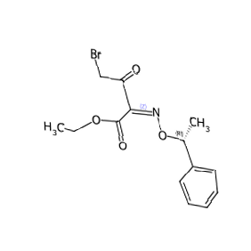 CCOC(=O)/C(=N\O[C@H](C)c1ccccc1)C(=O)CBr